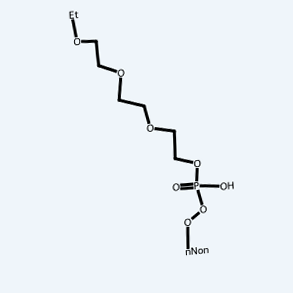 CCCCCCCCCOOP(=O)(O)OCCOCCOCCOCC